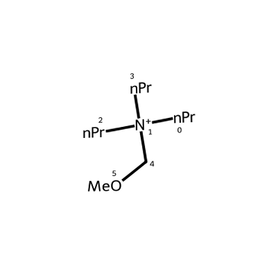 CCC[N+](CCC)(CCC)COC